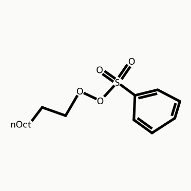 CCCCCCCCCCOOS(=O)(=O)c1ccccc1